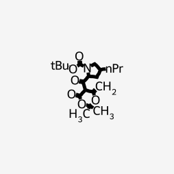 C=C1OC(C)(C)OC(=O)C1C(=O)C1CC(CCC)CN1C(=O)OC(C)(C)C